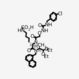 CCOC(OCC)[C@H](C)N(Cc1cccc2ccccc12)C(=O)[C@H](CCCCNC(=O)O)NC(=O)CONC(=O)NCc1ccc(Cl)cc1